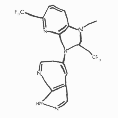 CN1c2ccc(C(F)(F)F)nc2N(c2cnc3[nH]ncc3c2)C1C(F)(F)F